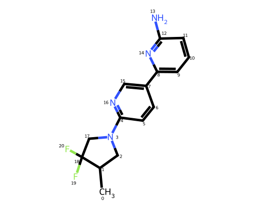 CC1CN(c2ccc(-c3cccc(N)n3)cn2)CC1(F)F